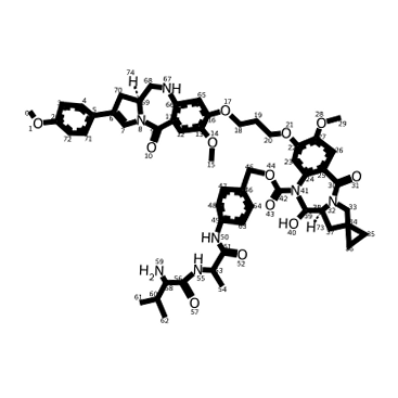 COc1ccc(C2=CN3C(=O)c4cc(OC)c(OCCCOc5cc6c(cc5OC)C(=O)N5CC7(CC7)C[C@H]5C(O)N6C(=O)OCc5ccc(NC(=O)C(C)NC(=O)C(N)C(C)C)cc5)cc4NC[C@@H]3C2)cc1